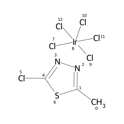 Cc1nnc(Cl)s1.[Cl][Ir]([Cl])([Cl])([Cl])[Cl]